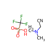 CN(C)CC#N.O=S(=O)(O)C(F)(F)F